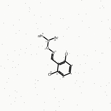 CCCN(ON=Cc1c(Cl)cccc1Cl)C(C)=O